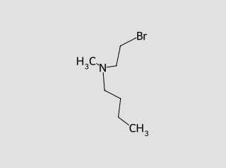 CCCCN(C)CCBr